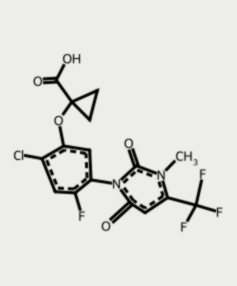 Cn1c(C(F)(F)F)cc(=O)n(-c2cc(OC3(C(=O)O)CC3)c(Cl)cc2F)c1=O